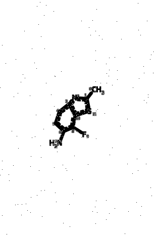 Cc1nc2ccc(N)c(F)c2s1